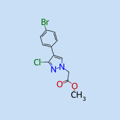 COC(=O)Cn1cc(-c2ccc(Br)cc2)c(Cl)n1